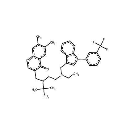 CCN(CCN(Cc1coc2cc(C)c(C)cc2c1=O)C(C)(C)C)Cc1cn(-c2cccc(C(F)(F)F)c2)c2ccccc12